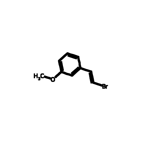 COc1cccc(/C=C/Br)c1